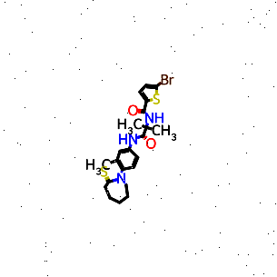 Cc1cc(NC(=O)C(C)(C)NC(=O)c2ccc(Br)s2)ccc1N1CCCCCC1=S